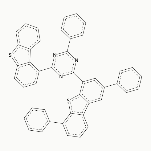 c1ccc(-c2cc(-c3nc(-c4ccccc4)nc(-c4cccc5sc6ccccc6c45)n3)c3sc4c(-c5ccccc5)cccc4c3c2)cc1